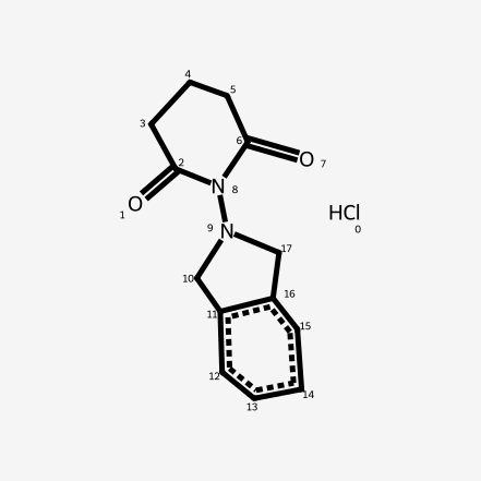 Cl.O=C1CCCC(=O)N1N1Cc2ccccc2C1